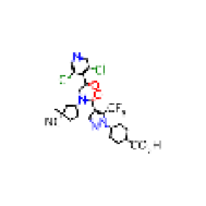 C[C@@]1(C#N)CC[C@@H](N(CC(=O)c2c(Cl)cncc2Cl)C(=O)c2cnn(C3CCC(C(=O)O)CC3)c2C(F)(F)F)C1